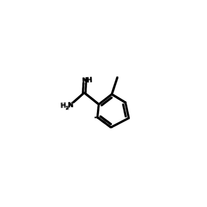 Cc1ccc[c]c1C(=N)N